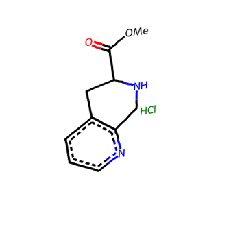 COC(=O)C1Cc2cccnc2CN1.Cl